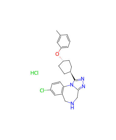 Cc1cccc(O[C@H]2CC[C@H](c3nnc4n3-c3ccc(Cl)cc3CNC4)CC2)c1.Cl